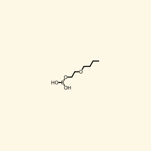 CCCCOCCOB(O)O